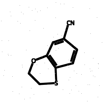 N#Cc1ccc2c(c1)OCCS2